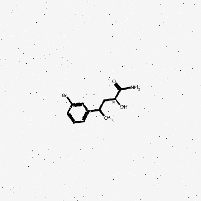 C[C](C[C@H](O)C(N)=O)c1cccc(Br)c1